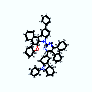 c1ccc(-c2ccc3c(c2)c2c4ccccc4c4c5ccccc5oc4c2n3-c2nc(-c3ccc4c(c3)c3ccccc3n4-c3ccccc3)c3c4ccccc4c4ccccc4c3n2)cc1